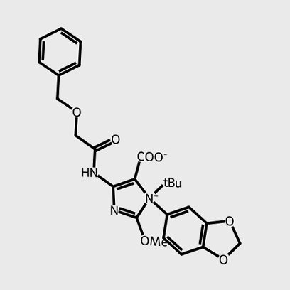 COC1=NC(NC(=O)COCc2ccccc2)=C(C(=O)[O-])[N+]1(c1ccc2c(c1)OCO2)C(C)(C)C